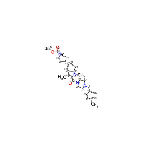 Cc1c(C(=O)N2CCN(Cc3ccc(C(F)(F)F)cc3)CC2)n(C)c2ccc(C3CCN(C(=O)OC(C)(C)C)CC3)cc12